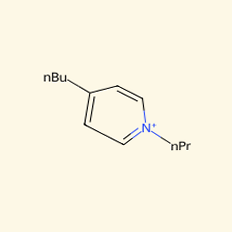 CCCCc1cc[n+](CCC)cc1